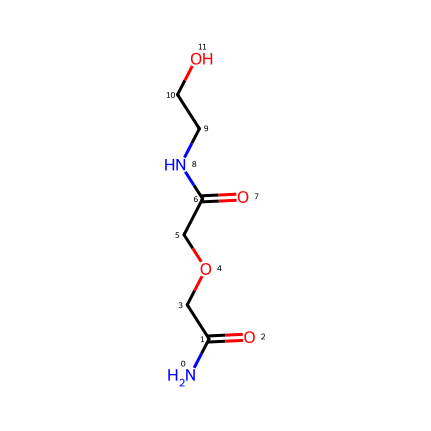 NC(=O)COCC(=O)NCCO